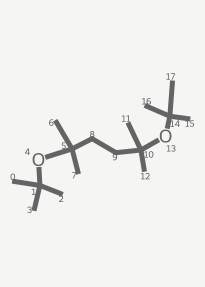 CC(C)(C)OC(C)(C)CCC(C)(C)OC(C)(C)C